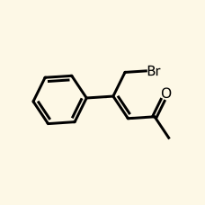 CC(=O)C=C(CBr)c1ccccc1